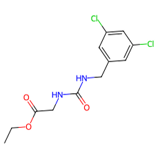 CCOC(=O)CNC(=O)NCc1cc(Cl)cc(Cl)c1